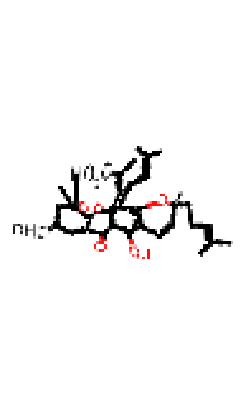 CC(C)=CCC[C@]1(C)C=Cc2c(O)c3c(c(CC=C(C)C)c2O1)O[C@]12C(=CC(C=O)CC1C(C)(C)OC2C/C=C(/C)C(=O)O)C3=O